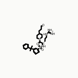 CC(C)(c1ccccc1)c1cccc(S(=O)(=O)N[C@@H](CCCNC(=N)N)C(=O)N2CCC(CC[C]=O)CC2)c1